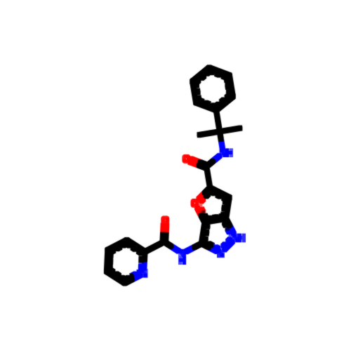 CC(C)(NC(=O)c1cc2[nH]nc(NC(=O)c3ccccn3)c2o1)c1ccccc1